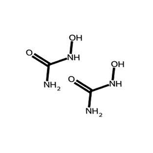 NC(=O)NO.NC(=O)NO